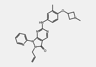 C=CCn1c(=O)c2cnc(Nc3ccc(OC4CN(C)C4)c(C)c3)nc2n1-c1ccccn1